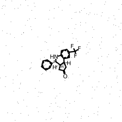 O=C1C[C@@H]2[C@H](C1)c1cc(C(F)(F)F)ccc1N[C@H]2c1ccccc1